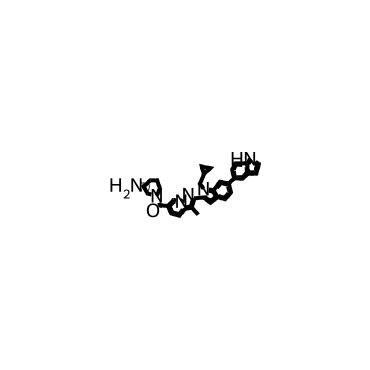 Cc1c(-c2cc3ccc(-c4ccc5[nH]ccc5c4)cc3n2CC2CC2)nn2cc(C(=O)N3CCC[C@@H](N)C3)ccc12